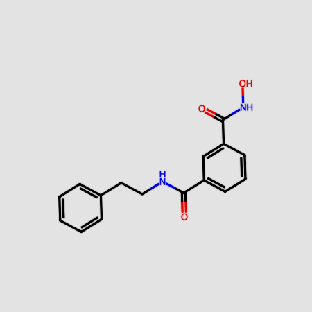 O=C(NO)c1cccc(C(=O)NCCc2ccccc2)c1